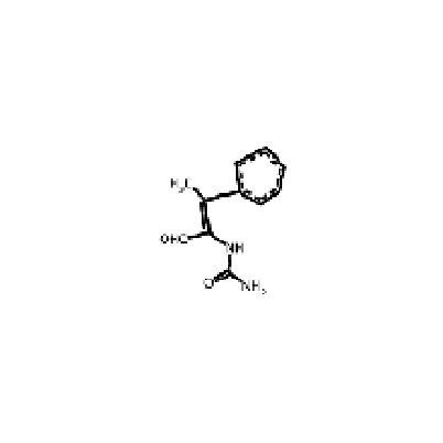 CC(=C([C]=O)NC(N)=O)c1ccccc1